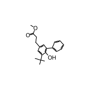 COC(=O)CCc1cc(-c2ccccc2)c(O)c(C(C)(C)C)c1